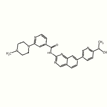 CN1CCN(c2cc(C(=O)Nc3ncc4ccc(-c5ccc(N(C)C)nc5)cc4n3)ccn2)CC1